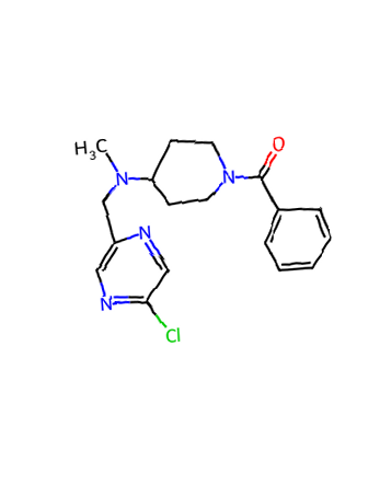 CN(Cc1cnc(Cl)cn1)C1CCN(C(=O)c2ccccc2)CC1